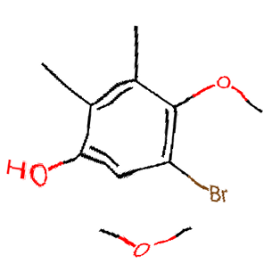 COC.COc1c(Br)cc(O)c(C)c1C